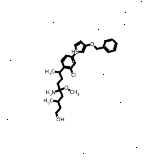 COC(N)(CCC(C)c1ccc([SH]2C=CC(OCc3ccccc3)=C2)cc1Cl)CC(C)CCO